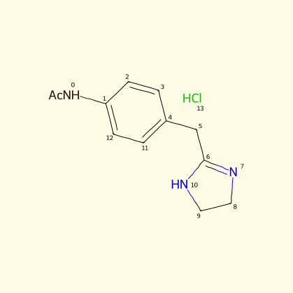 CC(=O)Nc1ccc(CC2=NCCN2)cc1.Cl